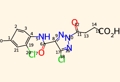 Cc1ccc(NC(=O)c2nn(C(=O)CCC(=O)O)nc2Cl)c(Cl)c1